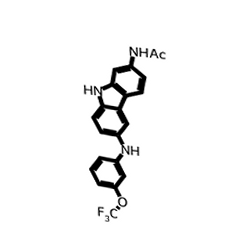 CC(=O)Nc1ccc2c(c1)[nH]c1ccc(Nc3cccc(OC(F)(F)F)c3)cc12